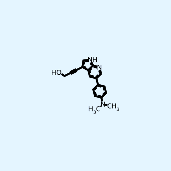 CN(C)c1ccc(-c2cnc3[nH]cc(C#CCO)c3c2)cc1